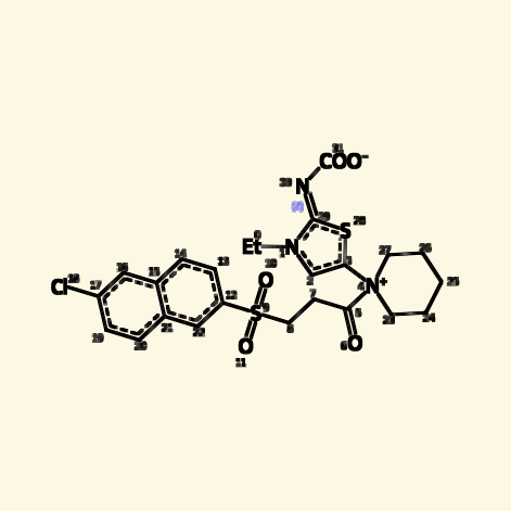 CCn1cc([N+]2(C(=O)CCS(=O)(=O)c3ccc4cc(Cl)ccc4c3)CCCCC2)s/c1=N\C(=O)[O-]